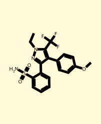 CCn1nc(-c2ccccc2S(N)(=O)=O)c(-c2ccc(OC)cc2)c1C(F)(F)F